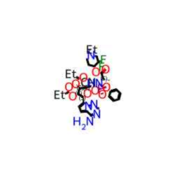 CCC(=O)O[C@H]1[C@H](c2ccc3c(N)ncnn23)O[C@](C#N)(COP(=O)(N[C@@H](C)C(=O)OC2CCN(CC)CC2(F)F)Oc2ccccc2)[C@H]1OC(=O)CC